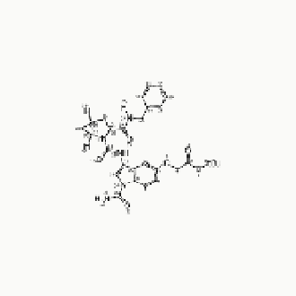 CC(C)(C)OC(=O)COc1ccc2c(c1)c(NC(=O)N1[C@@H]3C[C@@H]3C[C@H]1C(=O)N(F)Cc1ccccc1)cn2C(N)=O